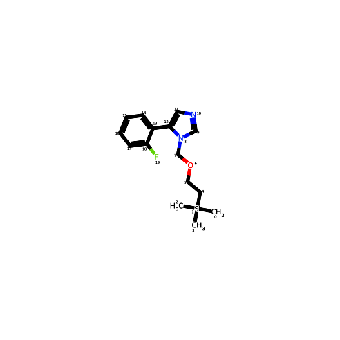 C[Si](C)(C)CCOCn1cncc1-c1ccccc1F